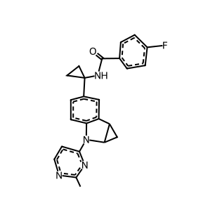 Cc1nccc(N2c3ccc(C4(NC(=O)c5ccc(F)cc5)CC4)cc3C3CC32)n1